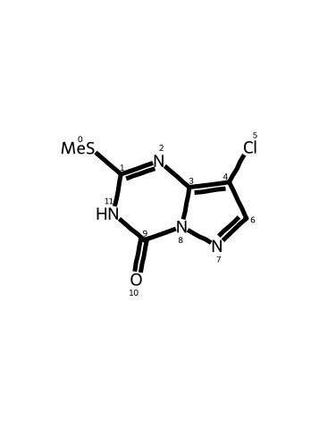 CSc1nc2c(Cl)cnn2c(=O)[nH]1